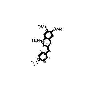 COc1cc2c(cc1OC)N(N)CC(=Cc1ccc([N+](=O)[O-])cc1)C2